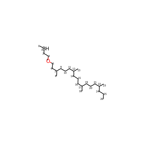 CBCCOCCC(C)CCCC(C)CCCC(C)CCCC(C)CCC